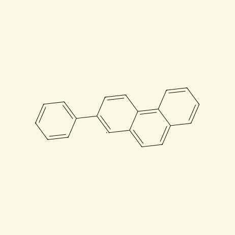 [c]1c(-c2ccccc2)ccc2c1ccc1ccccc12